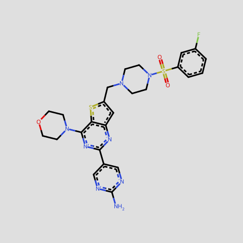 Nc1ncc(-c2nc(N3CCOCC3)c3sc(CN4CCN(S(=O)(=O)c5cccc(F)c5)CC4)cc3n2)cn1